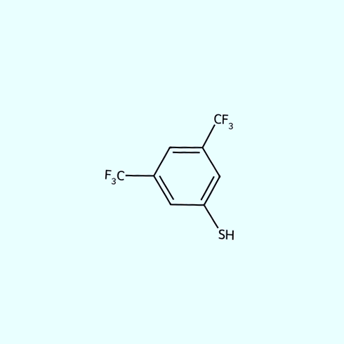 FC(F)(F)c1cc(S)cc(C(F)(F)F)c1